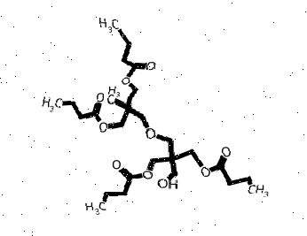 CCCC(=O)OCC(C)(COCC(CO)(COC(=O)CCC)COC(=O)CCC)COC(=O)CCC